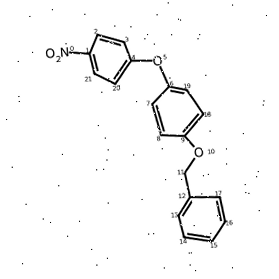 O=[N+]([O-])c1ccc(Oc2ccc(OCc3ccccc3)cc2)cc1